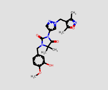 COc1ccc(CN2C(=O)N(c3cnn(Cc4c(C)noc4C)c3)C(=O)C2(C)C)cc1O